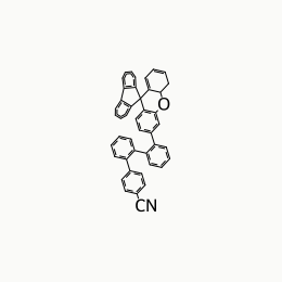 N#Cc1ccc(-c2ccccc2-c2ccccc2-c2ccc3c(c2)OC2CC=CC=C2C32c3ccccc3-c3ccccc32)cc1